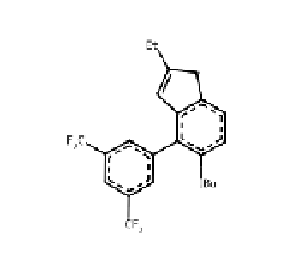 CCC1=Cc2c(ccc(C(C)(C)C)c2-c2cc(C(F)(F)F)cc(C(F)(F)F)c2)[CH]1